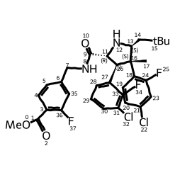 COC(=O)c1ccc(CNC(=O)[C@@H]2N[C@@H](CC(C)(C)C)[C@](C)(c3ccc(Cl)cc3F)[C@H]2c2cccc(Cl)c2F)cc1F